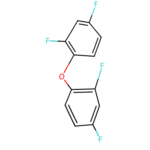 Fc1ccc(Oc2ccc(F)cc2F)c(F)c1